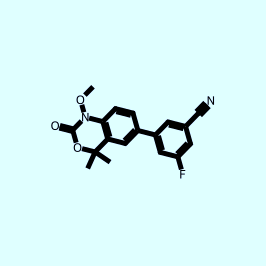 CON1C(=O)OC(C)(C)c2cc(-c3cc(F)cc(C#N)c3)ccc21